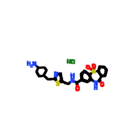 Cl.NC1CCC(Cc2ncc(CNC(=O)c3ccc4c(c3)NC(=O)c3ccccc3S4(=O)=O)s2)CC1